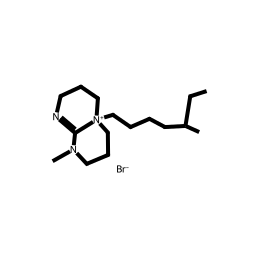 CCC(C)CCCC[N+]12CCCN=C1N(C)CCC2.[Br-]